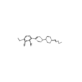 CCC/C=C/C1CCC(C2CC=C(c3ccc(CC)c(F)c3F)CC2)CC1